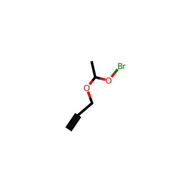 C#CCOC(C)OBr